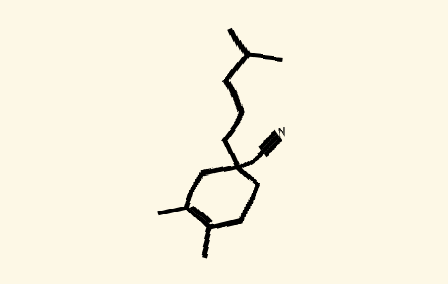 CC1=C(C)CC(C#N)(CCCC(C)C)CC1